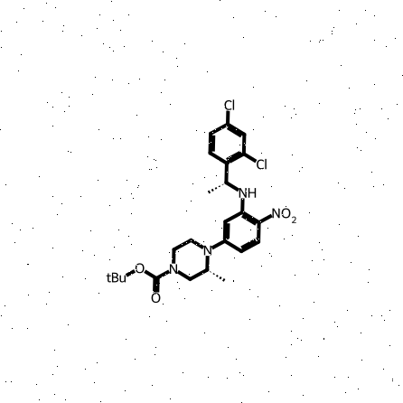 C[C@@H]1CN(C(=O)OC(C)(C)C)CCN1c1ccc([N+](=O)[O-])c(N[C@H](C)c2ccc(Cl)cc2Cl)c1